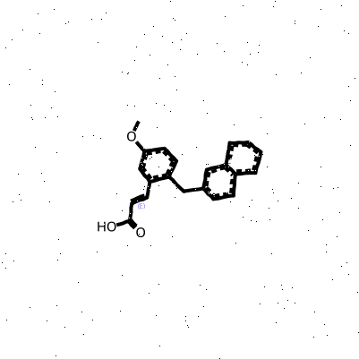 COc1ccc(Cc2ccc3ccccc3c2)c(/C=C/C(=O)O)c1